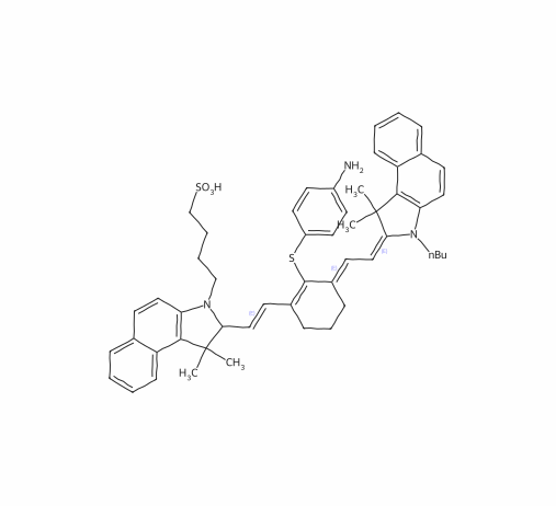 CCCCN1/C(=C/C=C2\CCCC(/C=C/C3N(CCCCS(=O)(=O)O)c4ccc5ccccc5c4C3(C)C)=C2Sc2ccc(N)cc2)C(C)(C)c2c1ccc1ccccc21